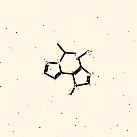 CC(C)n1nccc1-c1c(CO)ncn1C